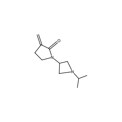 C=C1CCN(C2CN(C(C)C)C2)C1=O